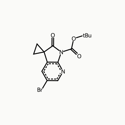 CC(C)(C)OC(=O)N1C(=O)C2(CC2)c2cc(Br)cnc21